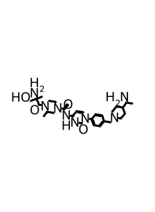 CC(N)C1CCN(Cc2ccc(-n3ccc(NC(=O)N4CCN(C(=O)C(C)(N)CO)C(C)C4)nc3=O)cc2)CC1